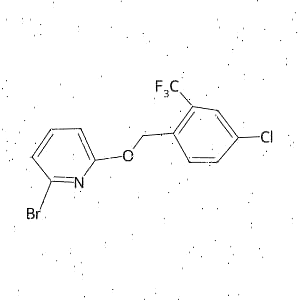 FC(F)(F)c1cc(Cl)ccc1COc1cccc(Br)n1